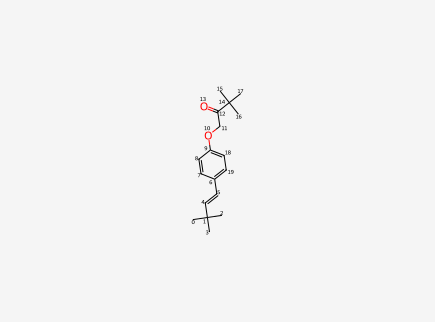 CC(C)(C)/C=C/c1ccc(OCC(=O)C(C)(C)C)cc1